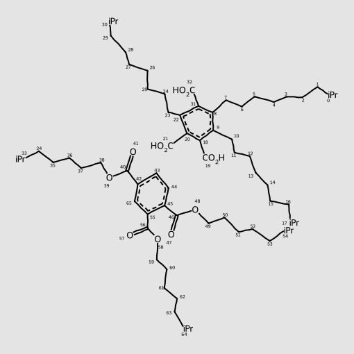 CC(C)CCCCCCCc1c(CCCCCCCC(C)C)c(C(=O)O)c(C(=O)O)c(CCCCCCCC(C)C)c1C(=O)O.CC(C)CCCCCOC(=O)c1ccc(C(=O)OCCCCCC(C)C)c(C(=O)OCCCCCC(C)C)c1